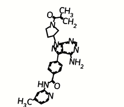 C=C(C)C(=O)N1CCC(n2nc(-c3ccc(C(=O)Nc4cc(C)ccn4)cc3)c3c(N)ncnc32)C1